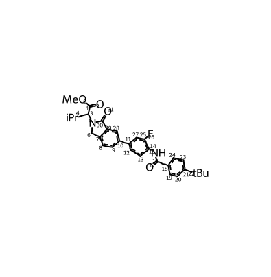 COC(=O)C(C(C)C)N1Cc2ccc(-c3ccc(NC(=O)c4ccc(C(C)(C)C)cc4)c(F)c3)cc2C1=O